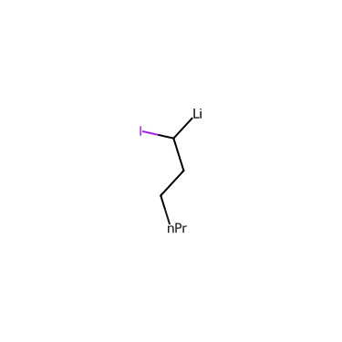 [Li][CH](I)CCCCC